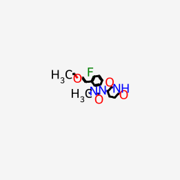 CCO/C=C/c1c(F)ccc2c1n(C)c(=O)n2C1CCC(=O)NC1=O